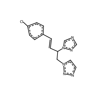 Clc1ccc(C=CC(Cn2ccnn2)n2cncn2)cc1